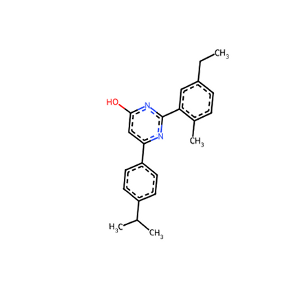 CCc1ccc(C)c(-c2nc(O)cc(-c3ccc(C(C)C)cc3)n2)c1